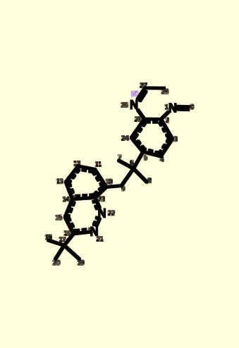 C=Nc1ccc(C(C)(C)Cc2cccc3cc(C(C)(C)C)nnc23)cc1/N=C\C